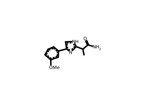 COc1cccc(-c2c[nH]c([C](C)C(N)=O)n2)c1